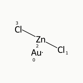 [Au].[Cl][Zn][Cl]